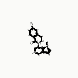 Cn1ccc2cncc(N3CCc4cc(Cl)ccc4C3=O)c21